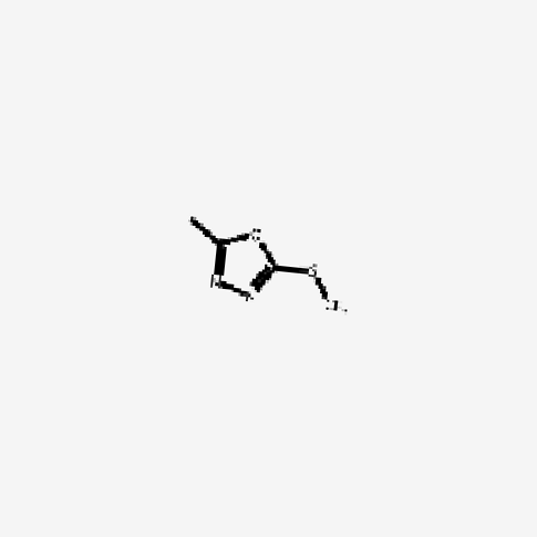 Cc1nnc(SC(F)(F)F)o1